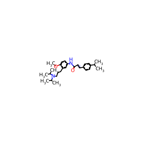 COc1ccc(NC(=O)/C=C/c2ccc(C(C)C)cc2)cc1CCCN(C(C)C)C(C)C